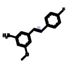 Bc1cc(/C=C/c2ccc(F)cc2)cc(OC)c1